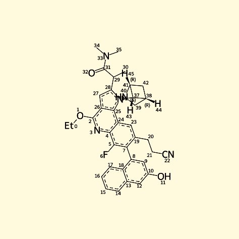 CCOc1nc2c(F)c(-c3cc(O)cc4ccccc34)c(CCC#N)cc2c2c1cc(C(C)C(=O)N(C)C)n2[C@H]1[C@H]2CN[C@@H]1C2